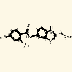 COC[C@@H]1COc2cc(NC(=O)c3ccc(C(C)(C)C)cc3C)ccc2N1